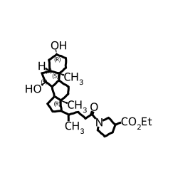 CCOC(=O)C1CCCN(C(=O)CCC(C)C2CCC3C4C(CC[C@]23C)[C@@]2(C)CC[C@@H](O)C[C@H]2C[C@@H]4O)C1